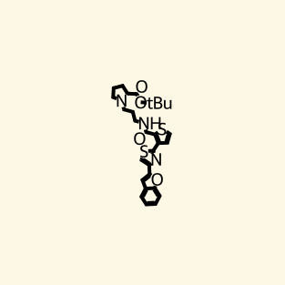 CC(C)(C)OC(=O)C1CCCN1CCCNC(=O)c1sccc1-c1nc(-c2cc3ccccc3o2)cs1